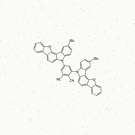 CC(C)(C)c1ccc2c(c1)c1c3oc4ccccc4c3ccc1n2-c1cc(C#N)c(C#N)c(-n2c3ccc(C(C)(C)C)cc3c3c4oc5ccccc5c4ccc32)c1